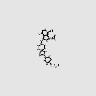 Cc1ccc(Cl)c2c1c(CN1CCC3(CC1)CC(c1ccc(C(=O)O)cc1)=NO3)cn2C1CC1